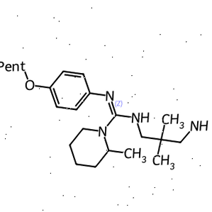 CCCCCOc1ccc(/N=C(/NCC(C)(C)CN)N2CCCCC2C)cc1